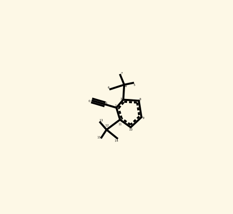 C#Cc1c(C(C)(C)C)cccc1C(C)(C)C